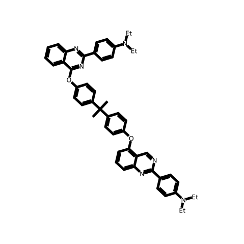 CCN(CC)c1ccc(-c2ncc3c(Oc4ccc(C(C)(C)c5ccc(Oc6nc(-c7ccc(N(CC)CC)cc7)nc7ccccc67)cc5)cc4)cccc3n2)cc1